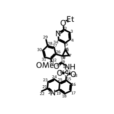 CCOc1ccc([C@H]2C[C@@]2(C(=O)NS(=O)(=O)c2cccc3nc(C)ccc23)c2cc(C)ccc2OC)cn1